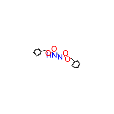 O=C(/N=[C]/NC(=O)OCc1ccccc1)OCc1ccccc1